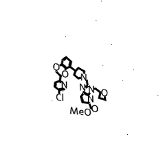 COC(=O)c1ccc2nc(CN3CCC(c4cccc5c4OC(c4ccc(Cl)cn4)CO5)CC3)n(CC3CCO3)c2n1